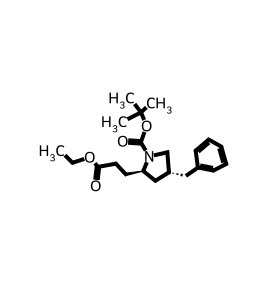 CCOC(=O)CC[C@@H]1C[C@@H](Cc2ccccc2)CN1C(=O)OC(C)(C)C